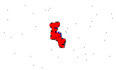 c1ccc(-n2c3ccccc3c3cc(-c4ccc5c6ccccc6n(-c6ncnc7c6oc6ccc(-c8cccc9c8oc8ccccc89)cc67)c5c4)ccc32)cc1